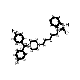 O=c1[nH]c2ccccc2n1CCCCCN1CCN(C(c2ccc(F)cc2)c2ccc(F)cc2)CC1